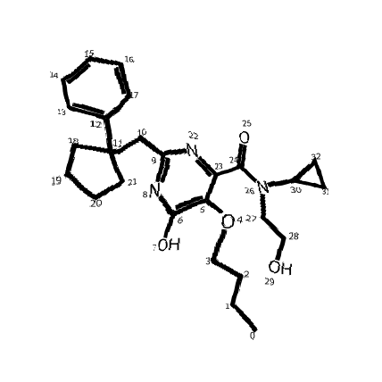 CCCCOc1c(O)nc(CC2(c3ccccc3)CCCC2)nc1C(=O)N(CCO)C1CC1